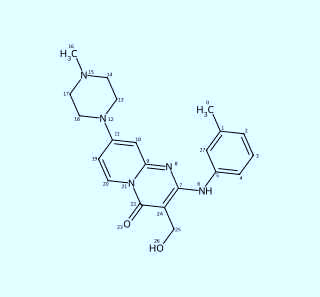 Cc1cccc(Nc2nc3cc(N4CCN(C)CC4)ccn3c(=O)c2CO)c1